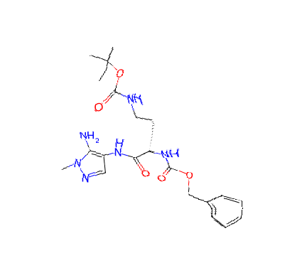 Cn1ncc(NC(=O)[C@H](CCNC(=O)OC(C)(C)C)NC(=O)OCc2ccccc2)c1N